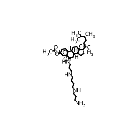 CC(=O)OC1CC[C@]2(C)[C@H]3CC[C@]4(C)[C@@H]([C@H](C)CC[C@@H](C)C(C)C)CC[C@H]4[C@@H]3CC(NCCCNCCCCNCCCN)C2(O)C1